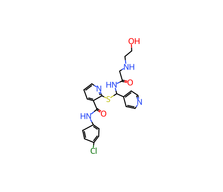 O=C(CNCCO)NC(Sc1ncccc1C(=O)Nc1ccc(Cl)cc1)c1ccncc1